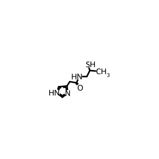 CC(S)CNC(=O)Cc1c[nH]cn1